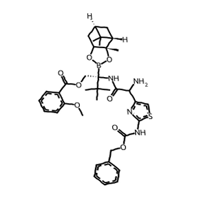 COc1ccccc1C(=O)OC[C@@](NC(=O)C(N)c1csc(NC(=O)OCc2ccccc2)n1)(B1OC2C[C@H]3C[C@@H](C3(C)C)[C@]2(C)O1)C(C)(C)C